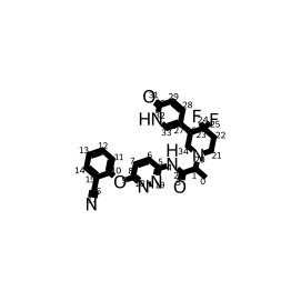 CC(C(=O)Nc1ccc(Oc2ccccc2C#N)nn1)N1CCC(F)(F)C(c2ccc(=O)[nH]c2)C1